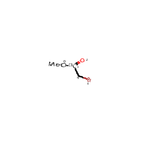 CO[13C](=O)CBr